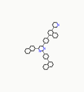 c1cncc(-c2ccc(-c3ccc(-c4cc(-c5ccc6ccccc6c5)nc(-c5ccc(-c6cccc7ccccc67)cc5)n4)cc3)c3ccccc23)c1